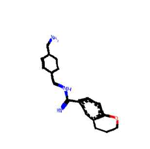 N=C(NCC1CCC(CN)CC1)c1ccc2c(c1)CCCO2